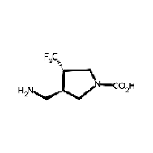 NC[C@@H]1CN(C(=O)O)C[C@H]1C(F)(F)F